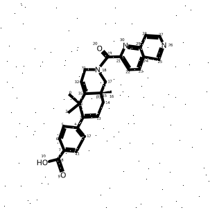 CC1(C)C(c2ccc(C(=O)O)cc2)=CC[C@@]2(C)CN(C(=O)c3ccc4cnccc4n3)CC=C12